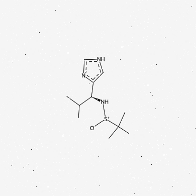 CC(C)[C@H](N[S+]([O-])C(C)(C)C)c1c[nH]cn1